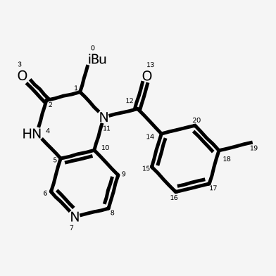 CCC(C)C1C(=O)Nc2cnccc2N1C(=O)c1cccc(C)c1